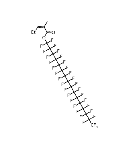 CCC=C(C)C(=O)OC(F)(F)C(F)(F)C(F)(F)C(F)(F)C(F)(F)C(F)(F)C(F)(F)C(F)(F)C(F)(F)C(F)(F)C(F)(F)C(F)(F)C(F)(F)C(F)(F)C(F)(F)C(F)(F)F